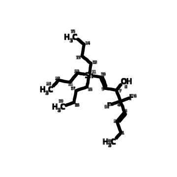 CCC=CC(F)(F)C(O)/C=[CH]/[Sn]([CH2]CCC)([CH2]CCC)[CH2]CCC